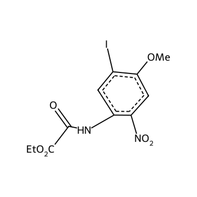 CCOC(=O)C(=O)Nc1cc(I)c(OC)cc1[N+](=O)[O-]